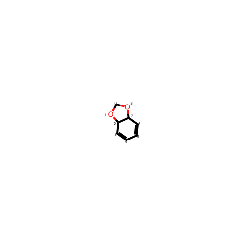 [CH]1OC2C=CC=CC2O1